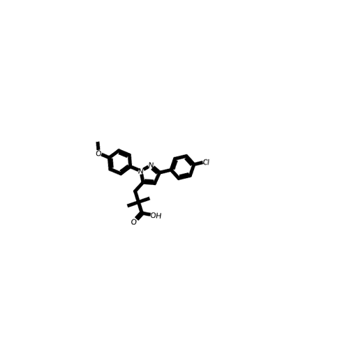 COc1ccc(-n2nc(-c3ccc(Cl)cc3)cc2CC(C)(C)C(=O)O)cc1